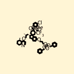 COC(=O)C1(N(C(=O)C(F)(F)F)c2cccc(Cl)c2)CCC2(CC1)c1cc(OCCCOP(=O)(OCc3ccccc3)OCc3ccccc3)ccc1C[C@@H]2C[C@@H](C)COc1ccnc2c1[C@H](C)CCC2